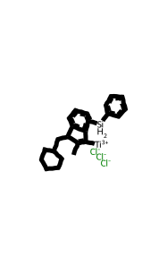 CC1=[C]([Ti+3])c2c([SiH2]c3ccccc3)cccc2C1CC1CCCCC1.[Cl-].[Cl-].[Cl-]